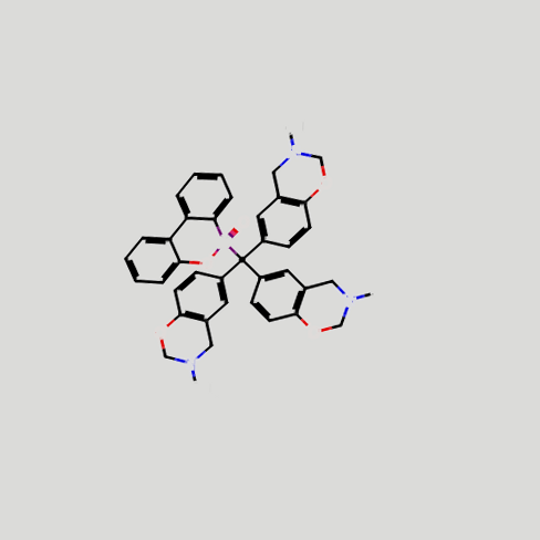 CN1COc2ccc(C(c3ccc4c(c3)CN(C)CO4)(c3ccc4c(c3)CN(C)CO4)P3(=O)Oc4ccccc4-c4ccccc43)cc2C1